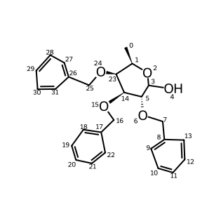 C[C@H]1OC(O)[C@H](OCc2ccccc2)[C@@H](OCc2ccccc2)[C@H]1OCc1ccccc1